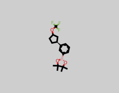 CC1(C)OB(c2cccc([C@H]3CCC(OC(F)(F)F)C3)c2)OC1(C)C